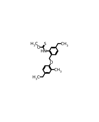 CCc1ccc(OCc2ccc(CC)cc2NC(=S)OC)c(C)c1